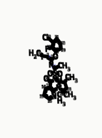 C=C/C=C(\N=C(/C)S(=O)(=O)NC(=O)c1cccnc1N1CC(C)CC1(C)C)Oc1cccc(Cl)c1F